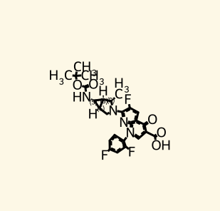 C[C@@H]1[C@H]2[C@@H](CN1c1nc3c(cc1F)c(=O)c(C(=O)O)cn3-c1ccc(F)cc1F)[C@@H]2NC(=O)OC(C)(C)C